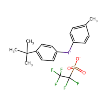 Cc1ccc([I+]c2ccc(C(C)(C)C)cc2)cc1.O=S(=O)([O-])C(F)(F)C(F)(F)F